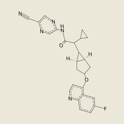 N#Cc1cnc(NC(=O)C(C2CC2)C2[C@H]3CC(Oc4ccnc5ccc(F)cc45)C[C@@H]23)cn1